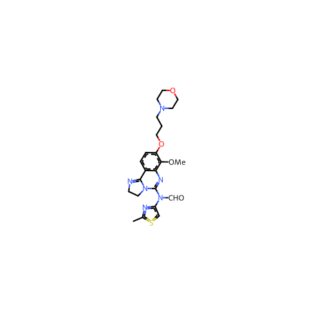 COc1c(OCCCN2CCOCC2)ccc2c1N=C(N(C=O)c1csc(C)n1)N1CCN=C21